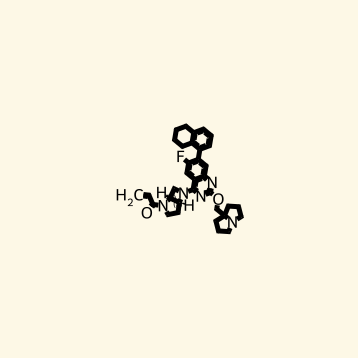 C=CC(=O)N1CC[C@H]2[C@H]1CN2c1nc(OCC23CCCN2CCC3)nc2cc(-c3cccc4c3CCCC4)c(F)cc12